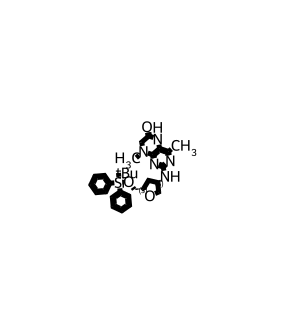 Cc1nc(N[C@@H]2CO[C@H](CO[Si](c3ccccc3)(c3ccccc3)C(C)(C)C)C2)nc2c1NC(=O)CN2C